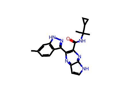 Cc1ccc2c(-c3nc4cc[nH]c4nc3C(=O)NC(C)(C)C3CC3)n[nH]c2c1